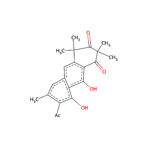 CC(=O)c1c(C)cc2cc3c(c(O)c2c1O)C(=O)C(C)(C)C(=O)C3(C)C